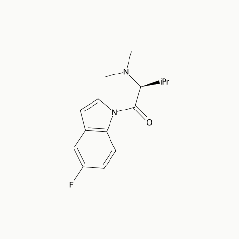 CC(C)[C@@H](C(=O)n1ccc2cc(F)ccc21)N(C)C